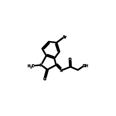 CN1C(=O)/C(=N/C(=O)CO)c2cc(Br)ccc21